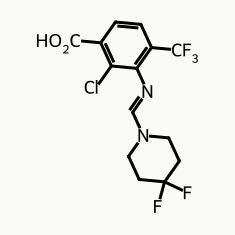 O=C(O)c1ccc(C(F)(F)F)c(/N=C/N2CCC(F)(F)CC2)c1Cl